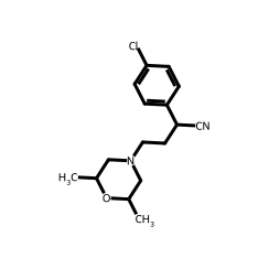 CC1CN(CCC(C#N)c2ccc(Cl)cc2)CC(C)O1